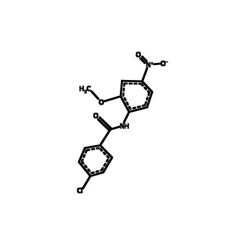 COc1cc([N+](=O)[O-])ccc1NC(=O)c1ccc(Cl)cc1